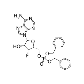 Nc1ncnc2c1ncn2[C@@H]1O[C@H](COP(=O)(OCc2ccccc2)OCc2ccccc2)[C@H](F)[C@H]1O